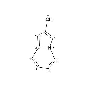 Oc1cc2ccccn2c1